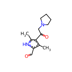 Cc1[nH]c(C=O)c(C)c1C(=O)CN1CCCC1